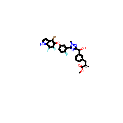 COC(=O)[C@H](C)Cc1cccc(C(O)c2nc(-c3cc(Oc4c(F)c(F)c5[nH]ccc5c4Br)ccc3F)n(C)n2)c1